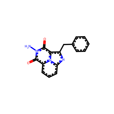 Nn1c(=O)c2cccc3nc(Cc4ccccc4)c(c1=O)n32